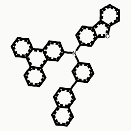 c1cc(-c2ccc3ccccc3c2)cc(N(c2ccc3c(c2)oc2ccccc23)c2ccc3c4ccccc4c4ccccc4c3c2)c1